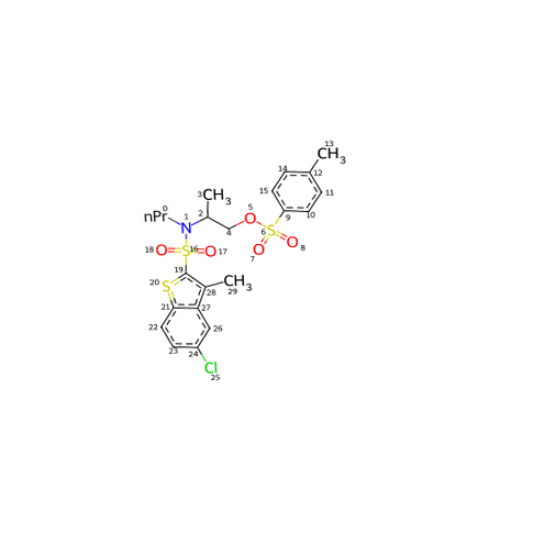 CCCN(C(C)COS(=O)(=O)c1ccc(C)cc1)S(=O)(=O)c1sc2ccc(Cl)cc2c1C